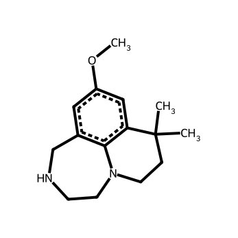 COc1cc2c3c(c1)C(C)(C)CCN3CCNC2